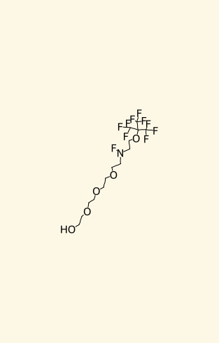 OCCOCCOCCOCCN(F)CCOC(C(F)(F)F)(C(F)(F)F)C(F)(F)F